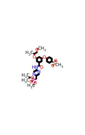 COC[C@H](C)Oc1cc(Oc2ccc(S(C)(=O)=O)cc2)cc(C(=O)Nc2cnc(CP(=O)(OC)OC(C)C)cn2)c1